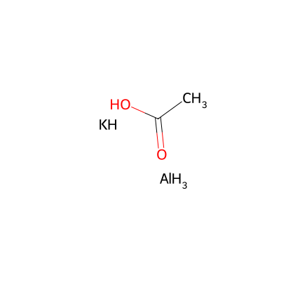 CC(=O)O.[AlH3].[KH]